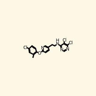 Cc1cc(Cl)ccc1Oc1ccc(CCNc2ncnc(Cl)c2Cl)cn1